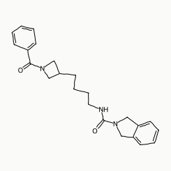 O=C(NCCCCC1CN(C(=O)c2ccccc2)C1)N1Cc2ccccc2C1